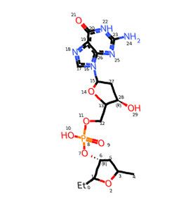 CCC1OC(C)C[C@H]1OP(=O)(O)OCC1OC(n2cnc3c(=O)[nH]c(N)nc32)C[C@H]1O